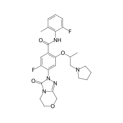 Cc1cccc(F)c1NC(=O)c1cc(F)c(-n2nc3n(c2=O)CCOC3)cc1OC(C)CN1CCCC1